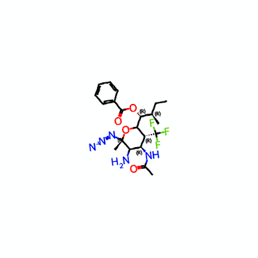 CC[C@@H](C)[C@@H](OC(=O)c1ccccc1)C1O[C@@](C)(N=[N+]=[N-])C(N)[C@H](NC(C)=O)[C@H]1C(F)(F)F